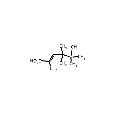 CC(=CC(C)(C)[Si](C)(C)C)C(=O)O